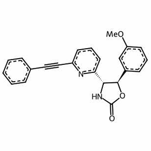 COc1cccc([C@H]2OC(=O)N[C@@H]2c2cccc(C#Cc3ccccc3)n2)c1